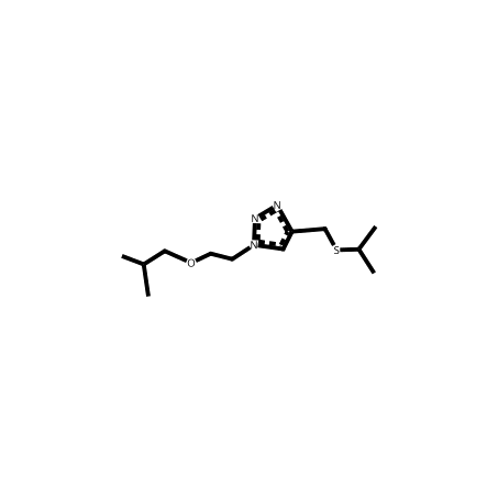 CC(C)COCCn1cc(CSC(C)C)nn1